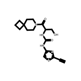 C#Cc1nc(NC(=O)NC(CO)C(=O)N2CCC3(CCC3)CC2)cs1